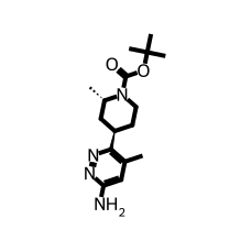 Cc1cc(N)nnc1[C@@H]1CCN(C(=O)OC(C)(C)C)[C@@H](C)C1